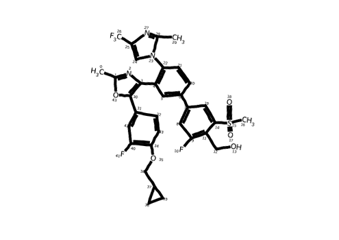 Cc1nc(-c2cc(-c3cc(F)c(CO)c(S(C)(=O)=O)c3)ccc2-n2cc(C(F)(F)F)nc2C)c(-c2ccc(OCC3CC3)c(F)c2)o1